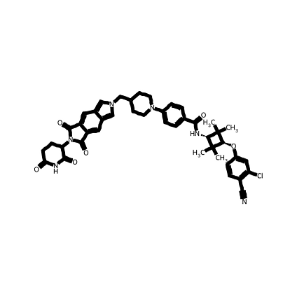 CC1(C)[C@H](NC(=O)c2ccc(N3CCC(Cn4cc5cc6c(cc5c4)C(=O)N(C4CCC(=O)NC4=O)C6=O)CC3)cc2)C(C)(C)[C@H]1Oc1ccc(C#N)c(Cl)c1